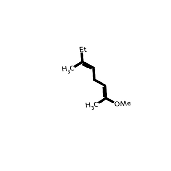 CCC(C)=CCC=C(C)OC